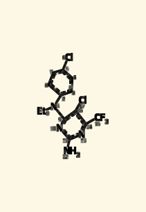 CCN(c1ccc(Cl)cc1)c1nc(N)nc(C(F)(F)F)c1Cl